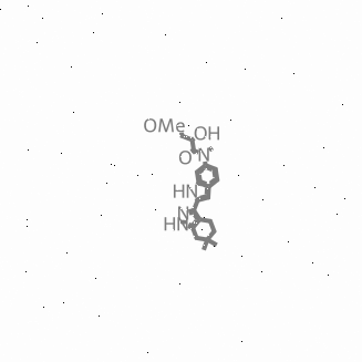 COCC(O)C(=O)N(C)c1ccc2cc(-c3n[nH]c4c3CCC(C)(C)C4)[nH]c2c1